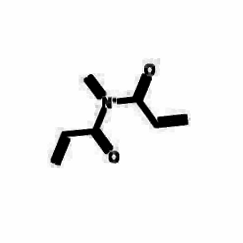 C=CC(=O)[N+](=C)C(=O)C=C